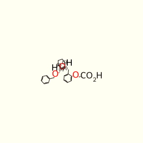 O=C(O)COc1ccccc1C[C@@H]1[C@H](COCc2ccccc2)[C@H]2CC[C@@H]1O2